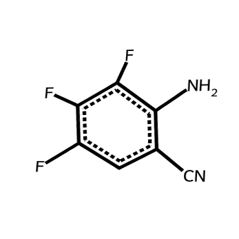 N#Cc1cc(F)c(F)c(F)c1N